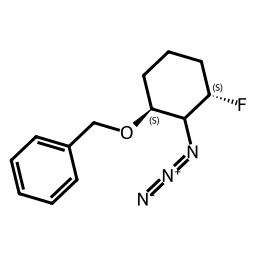 [N-]=[N+]=NC1[C@@H](OCc2ccccc2)CCC[C@@H]1F